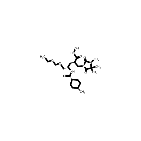 CCOCOC[C@H](C[C@H](CN1C(=O)N(C)C(C)(C)C1=O)C(=O)NO)NC(=O)[C@H]1CC[C@H](C)CC1